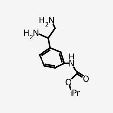 CC(C)OC(=O)Nc1cccc(C(N)CN)c1